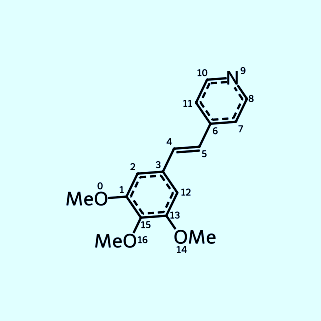 COc1cc(C=Cc2ccncc2)cc(OC)c1OC